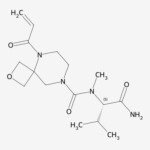 C=CC(=O)N1CCN(C(=O)N(C)[C@H](C(N)=O)C(C)C)CC12COC2